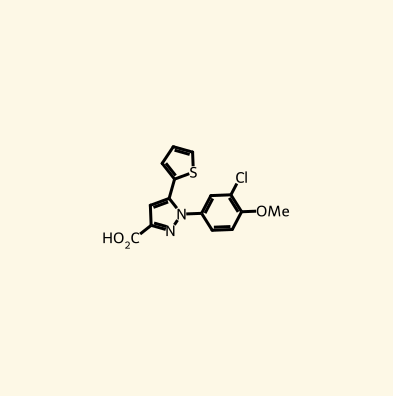 COc1ccc(-n2nc(C(=O)O)cc2-c2cccs2)cc1Cl